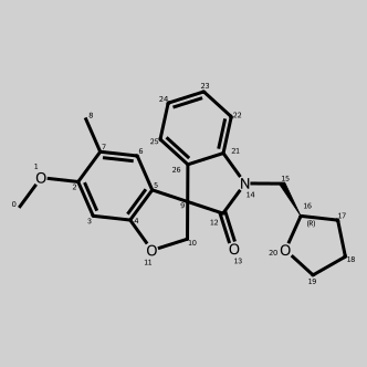 COc1cc2c(cc1C)C1(CO2)C(=O)N(C[C@H]2CCCO2)c2ccccc21